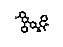 O=C(O)N(Cc1ccccc1)C1(c2ccc(-c3nc4ccnc(Cl)c4cc3-c3ccccc3)cc2)CC1